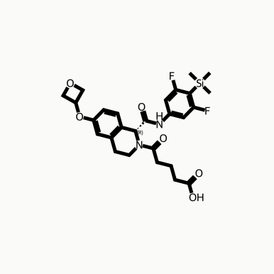 C[Si](C)(C)c1c(F)cc(NC(=O)[C@H]2c3ccc(OC4COC4)cc3CCN2C(=O)CCCC(=O)O)cc1F